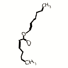 CCC/C=C\C(=O)OC=CCCCC